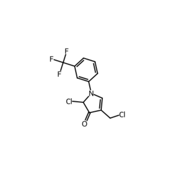 O=C1C(CCl)=CN(c2cccc(C(F)(F)F)c2)C1Cl